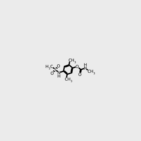 CNC(=O)Oc1cc(C)c(NS(C)(=O)=O)cc1C